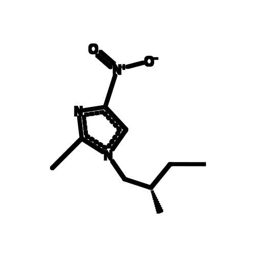 CC[C@H](C)Cn1cc([N+](=O)[O-])nc1C